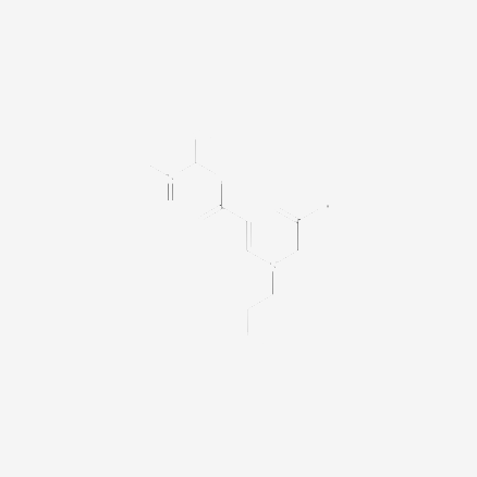 CCCN(C=CC(=O)OC(C)[N+](=O)[O-])CC(=O)O